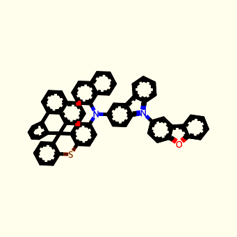 c1ccc2c(c1)Sc1ccc(N(c3ccc4c(c3)c3ccccc3n4-c3ccc4oc5ccccc5c4c3)c3cccc4ccccc34)cc1C21c2ccccc2-c2cccc3cccc1c23